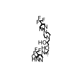 C[C@@H](COCC(O)CN1CCN(c2ncc(C(F)(F)F)cn2)CC1)Nc1cn[nH]c(=O)c1C(F)(F)F